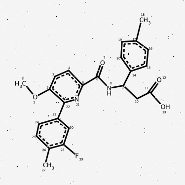 COc1ccc(C(=O)NC(CC(=O)O)c2ccc(C)cc2)nc1-c1ccc(C)c(F)c1